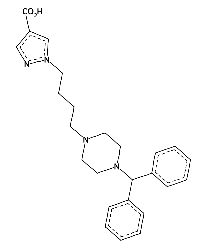 O=C(O)c1cnn(CCCCN2CCN(C(c3ccccc3)c3ccccc3)CC2)c1